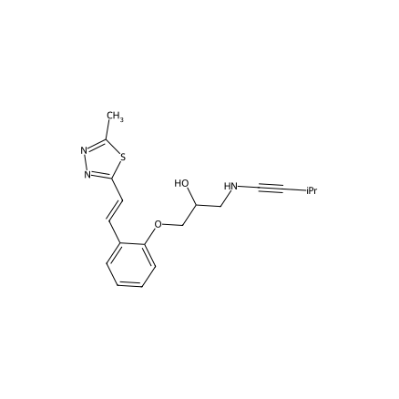 Cc1nnc(C=Cc2ccccc2OCC(O)CNC#CC(C)C)s1